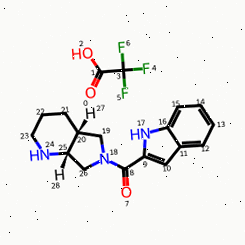 O=C(O)C(F)(F)F.O=C(c1cc2ccccc2[nH]1)N1C[C@H]2CCCN[C@H]2C1